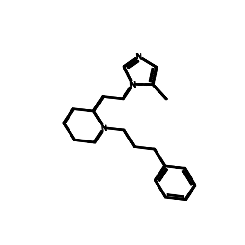 Cc1cncn1CCC1CCCCN1CCCc1ccccc1